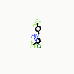 FC(F)(F)c1nc(NCC2CCC(C(F)(F)F)CC2)ccc1Cl